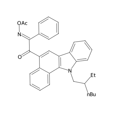 CCCCC(CC)Cn1c2ccccc2c2cc(C(=O)/C(=N/OC(C)=O)c3ccccc3)c3ccccc3c21